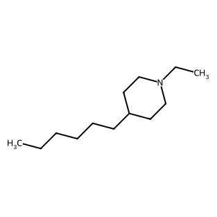 CCCCCCC1CCN(CC)CC1